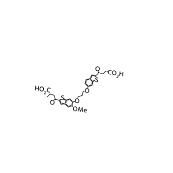 COc1cc2cc(C(=O)C[C@H](C)C(=O)O)sc2cc1OCCCOc1ccc2cc(C(=O)CCC(=O)O)sc2c1